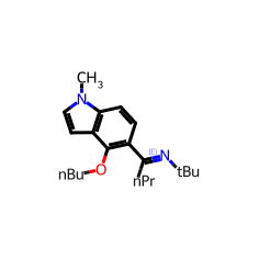 CCCCOc1c(/C(CCC)=N/C(C)(C)C)ccc2c1ccn2C